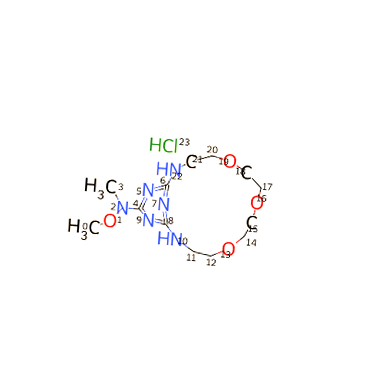 CON(C)c1nc2nc(n1)NCCOCCOCCOCCN2.Cl